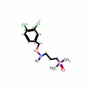 CC(=O)N(CCCP(C)(C)=O)OCc1ccc(Cl)c(Cl)c1